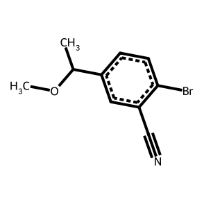 COC(C)c1ccc(Br)c(C#N)c1